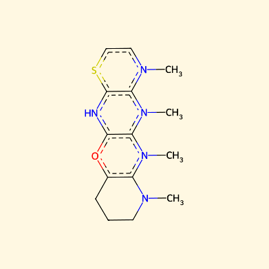 CN1CCCc2oc3[nH]c4sccn(C)c4n(C)c3n(C)c21